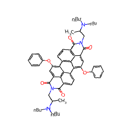 CCCCN(CCCC)C(C)CN1C(=O)c2ccc3c4c(Oc5ccccc5)cc5c6c(ccc(c7c(Oc8ccccc8)cc(c2c37)C1=O)c64)C(=O)N(CC(C)N(CCCC)CCCC)C5=O